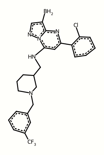 Bc1cnn2c(NCC3CCCN(Cc4cccc(C(F)(F)F)c4)C3)cc(-c3ccccc3Cl)nc12